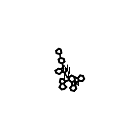 c1ccc(-c2ccc(-c3nnc(-n4c5ccc6ccccc6c5c5c6c7ccccc7n7c8ccccc8c(cc54)c67)c4ccccc34)cc2)cc1